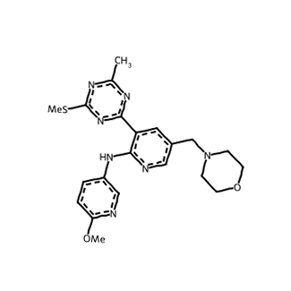 COc1ccc(Nc2ncc(CN3CCOCC3)cc2-c2nc(C)nc(SC)n2)cn1